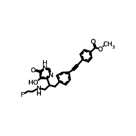 COC(=O)c1ccc(C#Cc2ccc(CC(CNCCF)c3nc[nH]c(=O)c3O)cc2)cc1